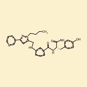 CCCCn1nc(-c2cccnc2)cc1CNc1cccc(C(=O)N[C@@H](Cc2ccc(O)cc2)C(N)=O)c1